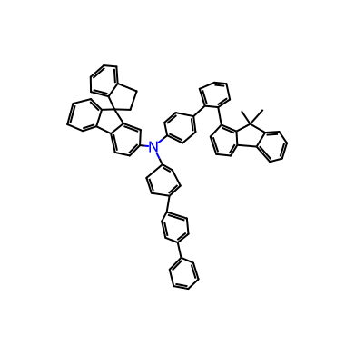 CC1(C)c2ccccc2-c2cccc(-c3ccccc3-c3ccc(N(c4ccc(-c5ccc(-c6ccccc6)cc5)cc4)c4ccc5c(c4)C4(CCc6ccccc64)c4ccccc4-5)cc3)c21